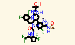 Cn1nc(N[S+](C)[O-])c2c(Cl)ccc(-c3cc4[nH]c(C(C)(C)O)nc4nc3C(Cc3cc(F)cc(F)c3)NC(=O)Cn3nc(C(F)F)c4c3C(F)(F)CC4)c21